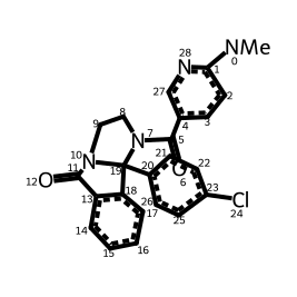 CNc1ccc(C(=O)N2CCN3C(=O)c4ccccc4C23c2ccc(Cl)cc2)cn1